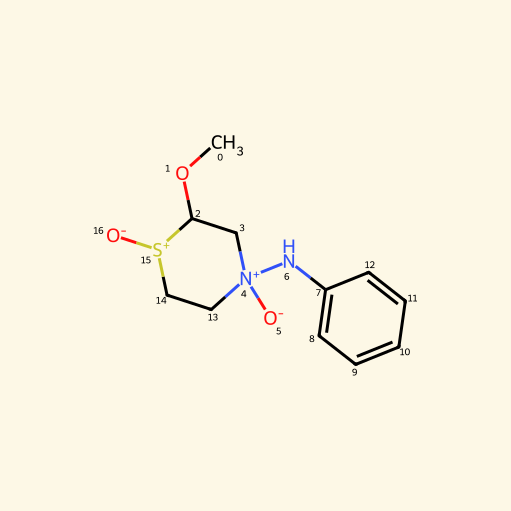 COC1C[N+]([O-])(Nc2ccccc2)CC[S+]1[O-]